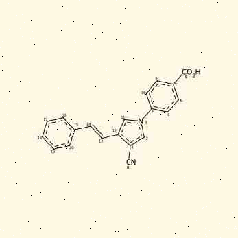 N#Cc1cn(-c2ccc(C(=O)O)cc2)cc1/C=C/c1ccccc1